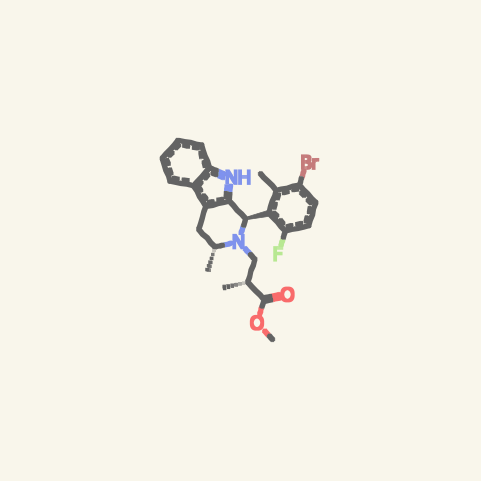 COC(=O)[C@H](C)CN1[C@H](c2c(F)ccc(Br)c2C)c2[nH]c3ccccc3c2C[C@H]1C